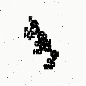 C[C@H](N(Cc1ccc(F)cc1)C(=O)CN1C(=O)N[C@]2(C[C@H](O)c3cc(-c4cnn(CC(=O)OC(C)(C)C)c4)ccc32)C1=O)C(F)(F)F